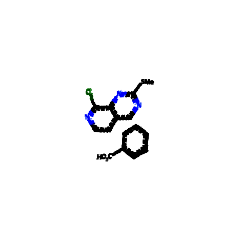 CSc1ncc2ccnc(Cl)c2n1.O=C(O)c1ccccc1